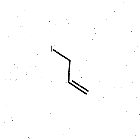 C=[C]CI